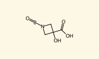 O=BN1CC(O)(C(=O)O)C1